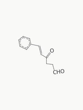 O=CCCC(=O)C=Cc1ccccc1